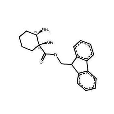 N[C@@H]1CCCC[C@@]1(O)C(=O)OCC1c2ccccc2-c2ccccc21